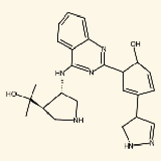 CC(C)(O)[C@@H]1CNC[C@H]1Nc1nc(C2C=C(C3C=NNC3)C=CC2O)nc2ccccc12